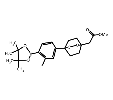 COC(=O)CC12CCC(c3ccc(B4OC(C)(C)C(C)(C)O4)c(F)c3)(CC1)CO2